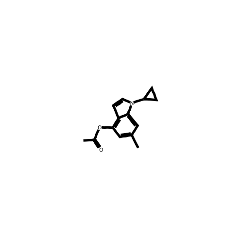 CC(=O)Oc1cc(C)cc2c1ccn2C1CC1